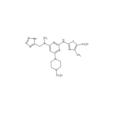 CCOC(=O)c1sc(Nc2nc(N(C)Cc3nnn[nH]3)cc(N3CCN(C(=O)OCC)CC3)n2)nc1C